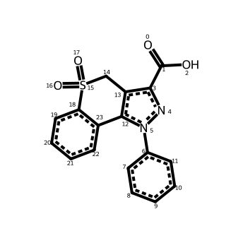 O=C(O)c1nn(-c2ccccc2)c2c1CS(=O)(=O)c1ccccc1-2